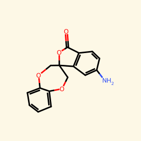 Nc1ccc2c(c1)C1(COc3ccccc3OC1)OC2=O